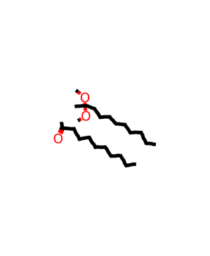 CCCCCCCCCC(C)(OC)OC.CCCCCCCCCC(C)=O